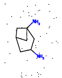 NC1CC2CC(N)(C1)C2